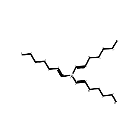 CCCCCC=C[Si](C=CCCCCC)C=CCCCCC